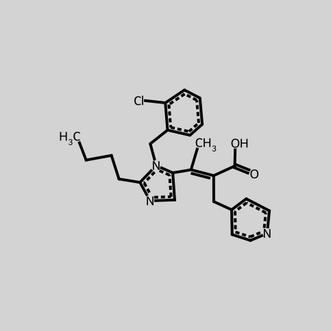 CCCCc1ncc(C(C)=C(Cc2ccncc2)C(=O)O)n1Cc1ccccc1Cl